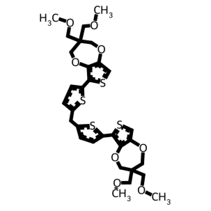 COCC1(COC)COc2csc(-c3ccc(Cc4ccc(-c5scc6c5OCC(COC)(COC)CO6)s4)s3)c2OC1